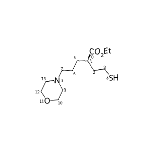 CCOC(=O)[C@@H](CCS)CCCN1CCOCC1